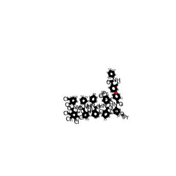 CC(C)Oc1cccc(NC(=O)c2ccccc2C(F)(F)F)c1.Cc1ccccc1C(=O)Nc1cccc(OC(C)C)c1.Cc1ccccc1C(=O)Nc1ccccc1.O=C(Nc1ccccc1)c1ccccc1I.O=C(Nc1ccccc1)c1ccccc1O.O=C(O)c1c(Cl)c(Cl)c(Cl)c(Cl)c1C(=O)Nc1cccc(Cl)c1Cl